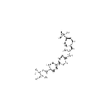 O=C(O)C1(COc2ncc(-c3ccc(Nc4nc5ccc(C(F)(F)F)cc5s4)cc3)cn2)CC1